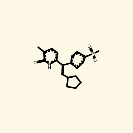 Cc1ccc(C(=CC2CCCC2)c2ccc(S(C)(=O)=O)cc2)[nH]c1=O